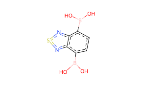 OB(O)c1ccc(B(O)O)c2nsnc12